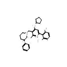 CCc1cccc(CC)c1-c1cc(OC2CCCC2)c(CN2CCC[C@H](c3ccccc3)C2)c(C)n1